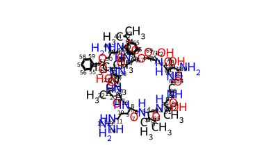 CC[C@H](C)C1NC(=O)[C@@H](CCCNC(=N)N)NC(=O)[C@H](CC(C)C)NC(=O)[C@H]([C@H](O)C(C)C)NC(=O)[C@@H](NC(=O)[C@H](CC(C)C)NC(=O)[C@H](N)COC(=O)c2ccccc2)[C@@H](c2ccccc2)OC(=O)[C@H](CO)NC(=O)[C@H]([C@H](O)C(N)=O)NC(=O)CNC(=O)C([C@H](C)O)NC1=O